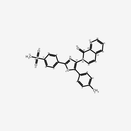 Cc1ccc(-c2oc(-c3ccc(S(C)(=O)=O)cc3)nc2-n2ccc3cccnc3c2=O)cc1